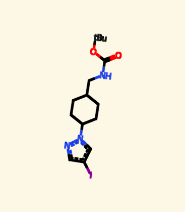 CC(C)(C)OC(=O)NCC1CCC(n2cc(I)cn2)CC1